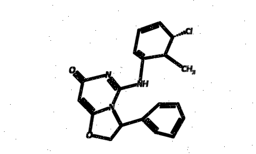 CC1C(Nc2nc(=O)cc3n2C(c2ccccc2)CO3)=CC=C[C@@H]1Cl